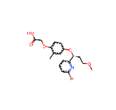 COCC[C@H](Oc1ccc(OCC(=O)O)c(C)c1)c1cccc(Br)n1